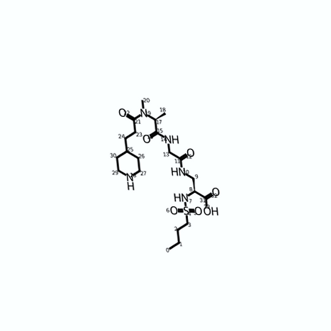 CCCCS(=O)(=O)N[C@@H](CNC(=O)CNC(=O)[C@H](C)N(C)C(=O)CCC1CCNCC1)C(=O)O